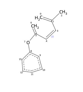 C=C(C)/C=C\C(=C)Oc1ccccc1